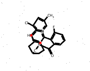 Cc1cnc(NC2CC3CCC2N(C(=O)c2cccc(F)c2-c2ncccn2)C3)c(Cl)c1